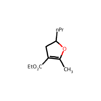 CCCC1CC(C(=O)OCC)=C(C)O1